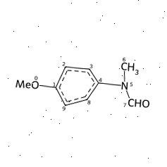 COc1ccc(N(C)C=O)cc1